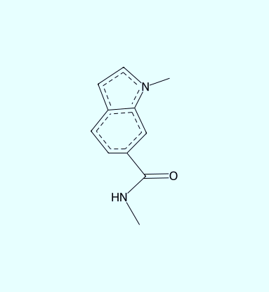 CNC(=O)c1ccc2ccn(C)c2c1